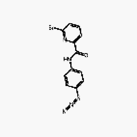 [N-]=[N+]=Nc1ccc(NC(=O)c2cccc(Br)n2)cc1